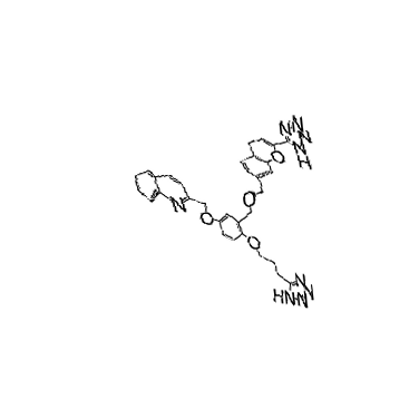 C1=C(c2nnn[nH]2)Oc2cc(COCc3cc(OCc4ccc5ccccc5n4)ccc3OCCCc3nnn[nH]3)ccc2C1